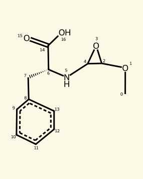 COC1OC1N[C@H](Cc1ccccc1)C(=O)O